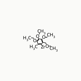 CCOCc1[c]([Zr])c(C)c(OCC)c(OCC)c1OCC